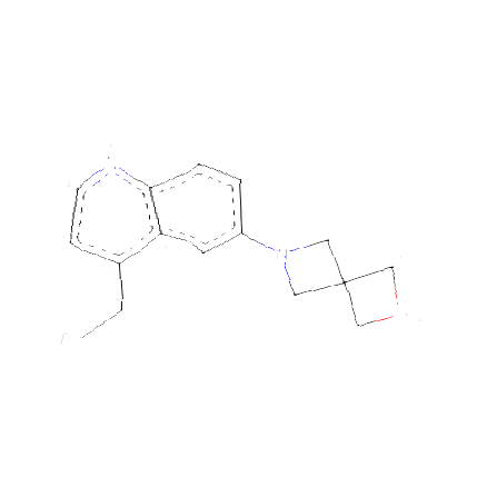 CC(C)Cc1ccnc2ccc(N3CC4(COC4)C3)cc12